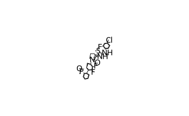 C=S=C(Nc1ccc(Cl)cc1F)N[C@@H]1CCCN(c2ccc(-c3ccccc3P(C)(C)=O)c(F)c2F)C1=O